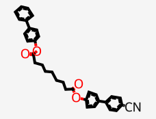 N#Cc1ccc(-c2ccc(OC(=O)CCCCCCCC(=O)Oc3ccc(-c4ccccc4)cc3)cc2)cc1